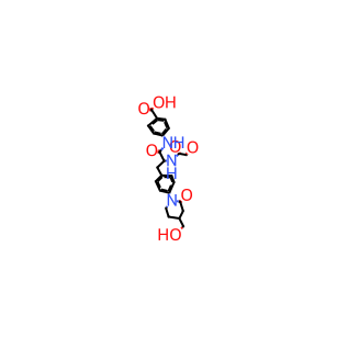 O=CC(=O)NC(Cc1ccc(N2CCC(CO)CC2=O)cc1)C(=O)Nc1ccc(C(=O)O)cc1